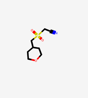 N#CCS(=O)(=O)CC1CCOCC1